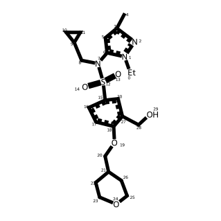 CCn1nc(C)cc1N(CC1CC1)S(=O)(=O)c1ccc(OCC2CCOCC2)c(CO)c1